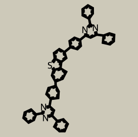 c1ccc(-c2cc(-c3ccc(-c4ccc5c(c4)sc4ccc(-c6ccc(-c7cc(-c8ccccc8)nc(-c8ccccc8)n7)cc6)cc45)cc3)nc(-c3ccccc3)n2)cc1